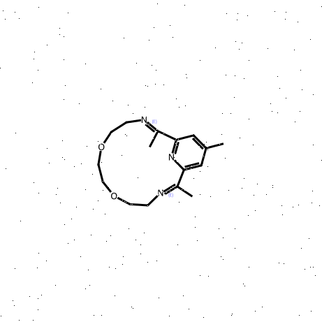 C/C1=N\CCOCCOCC/N=C(\C)c2cc(C)cc1n2